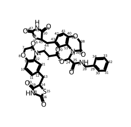 O=C(CCN1C(=O)COc2ccc(CC3SC(=O)NC3=O)cc21)OC(C(=O)NCc1ccccc1)N1C(=O)COc2ccc(CC3SC(=O)NC3=O)cc21